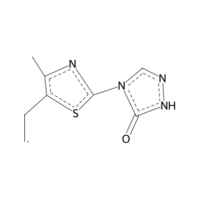 [CH2]Cc1sc(-n2cn[nH]c2=O)nc1C